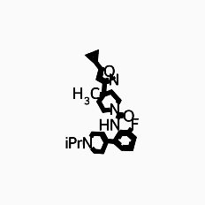 CC(C)N1CC=C(c2cccc(F)c2NC(=O)N2CCC(C)(c3cc(C4CC4)on3)CC2)CC1